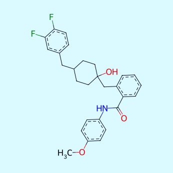 COc1ccc(NC(=O)c2ccccc2CC2(O)CCC(Cc3ccc(F)c(F)c3)CC2)cc1